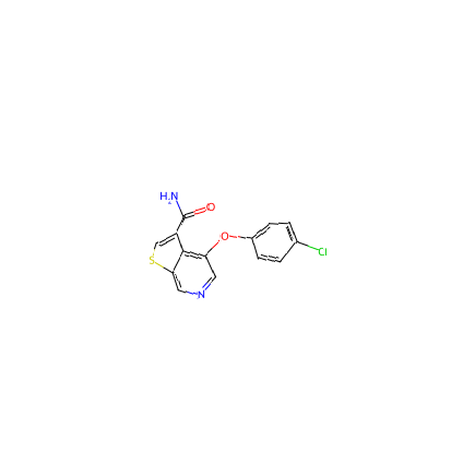 NC(=O)c1csc2cncc(Oc3ccc(Cl)cc3)c12